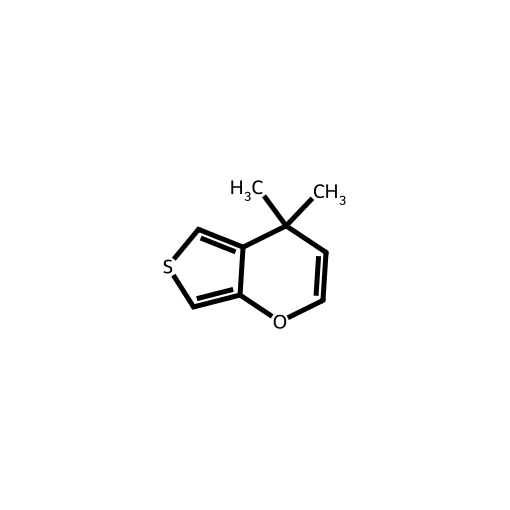 CC1(C)C=COc2cscc21